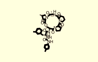 Cc1ccc(NC(=O)N[C@@H](Cc2cccc(C)c2)C(=O)N[C@@H]2C(=O)N3CCC[C@H]3C(=O)N3CCCC[C@H]3C(=O)N[C@@H](C)C(=O)N3C[C@H](C)C[C@H]3C(=O)O[C@H]2C)cc1